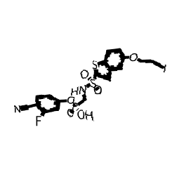 N#Cc1ccc(OP(=O)(O)CNS(=O)(=O)c2cc3cc(OCCI)ccc3s2)cc1F